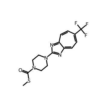 CSC(=O)N1CCN(c2nc3ccc(C(F)(F)F)ccc-3n2)CC1